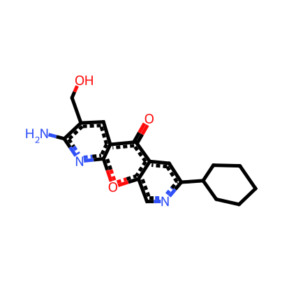 Nc1nc2oc3cnc(C4CCCCC4)cc3c(=O)c2cc1CO